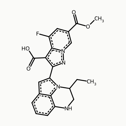 CCC1CNc2cccc3cc(-c4nn5cc(C(=O)OC)cc(F)c5c4C(=O)O)n1c23